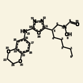 CCCCCC(CN(O)C=O)c1nnc(Nc2ccc3c(c2)OCCO3)o1